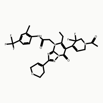 CCc1c(C2=CCN(C(C)=O)CC2(F)F)c(=O)n2nc(C3=CCOCC3)nc2n1CC(=O)Nc1ccc(C(F)(F)F)cc1C